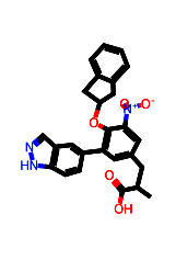 CC(Cc1cc(-c2ccc3[nH]ncc3c2)c(OC2Cc3ccccc3C2)c([N+](=O)[O-])c1)C(=O)O